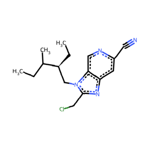 CCC(C)[C@@H](CC)Cn1c(CCl)nc2cc(C#N)ncc21